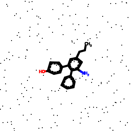 CCCc1cc(N)c(-c2ccccc2)c(-c2ccc(O)cc2)c1